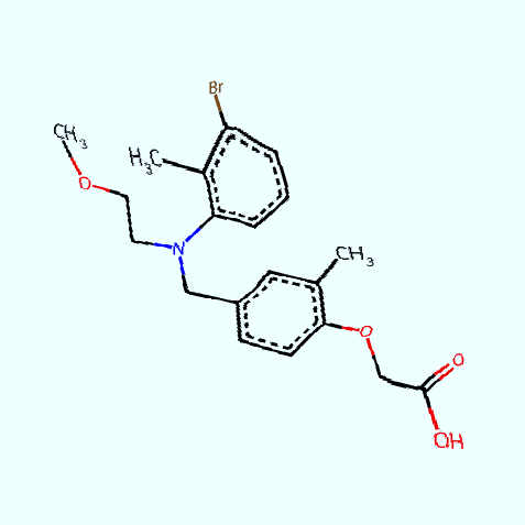 COCCN(Cc1ccc(OCC(=O)O)c(C)c1)c1cccc(Br)c1C